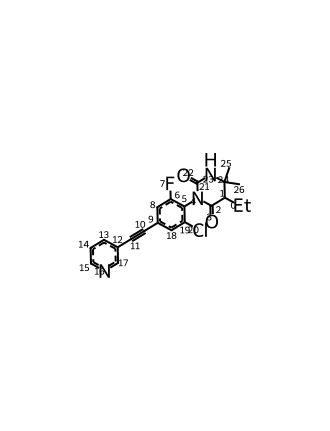 CCC1C(=O)N(c2c(F)cc(C#Cc3cccnc3)cc2Cl)C(=O)NC1(C)C